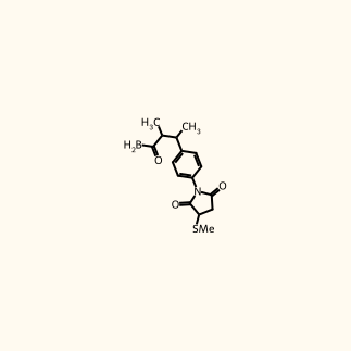 BC(=O)C(C)C(C)c1ccc(N2C(=O)CC(SC)C2=O)cc1